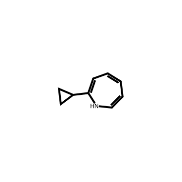 C1=CC=C(C2CC2)NC=C1